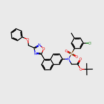 Cc1cc(Cl)cc(S(=O)(=O)N(CC(=O)OC(C)(C)C)c2ccc3c(-c4nc(COc5ccccc5)no4)cccc3c2)c1